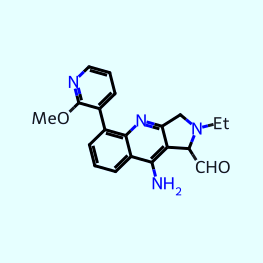 CCN1Cc2nc3c(-c4cccnc4OC)cccc3c(N)c2C1C=O